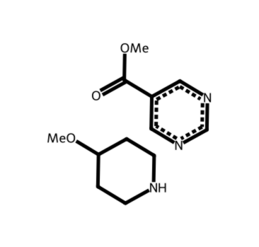 COC(=O)c1cncnc1.COC1CCNCC1